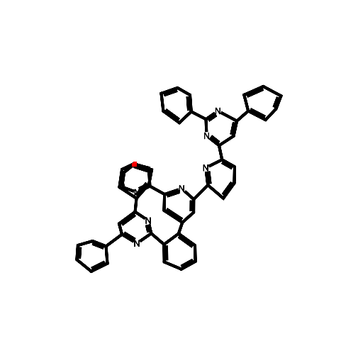 C1=CC(c2cc(-c3ccccc3-c3nc(-c4ccccc4)cc(-c4ccccc4)n3)cc(-c3cccc(-c4cc(-c5ccccc5)nc(-c5ccccc5)n4)n3)n2)=NCC1